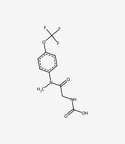 CN(C(=O)CNC(=O)O)c1ccc(OC(F)(F)F)cc1